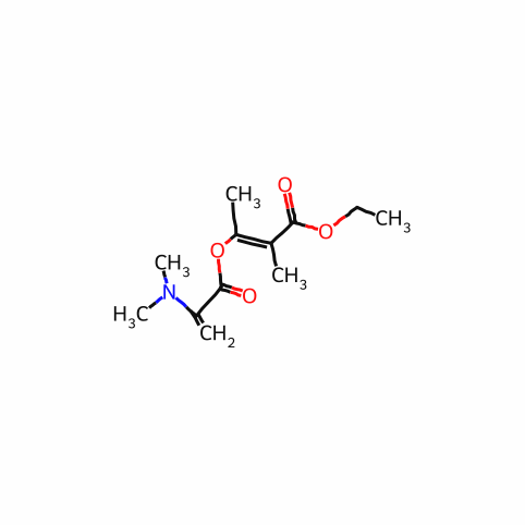 C=C(C(=O)OC(C)=C(C)C(=O)OCC)N(C)C